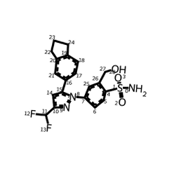 NS(=O)(=O)c1ccc(-n2nc(C(F)F)cc2-c2ccc3c(c2)CCC3)cc1CO